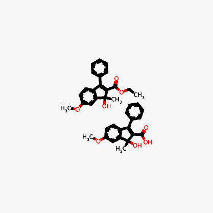 CCOC(=O)C1=C(c2ccccc2)c2ccc(OC)cc2C1(C)O.COc1ccc2c(c1)C(C)(O)C(C(=O)O)=C2c1ccccc1